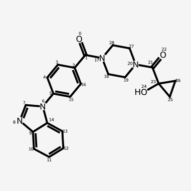 O=C(c1ccc(-n2cnc3ccccc32)cc1)N1CCN(C(=O)C2(O)CC2)CC1